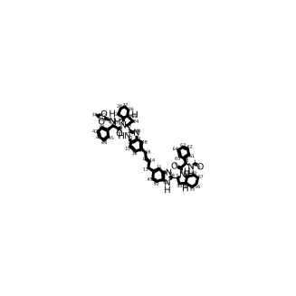 O=CN[C@@H](C(=O)N1[C@H](c2nc3cc(C/C=C/Cc4ccc5[nH]c([C@@H]6C[C@@H]7CCCC[C@@H]7N6C(=O)[C@H](NC6OCO6)c6ccccc6)nc5c4)ccc3[nH]2)C[C@@H]2CCCC[C@@H]21)c1ccccc1